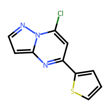 Clc1cc(-c2cccs2)nc2ccnn12